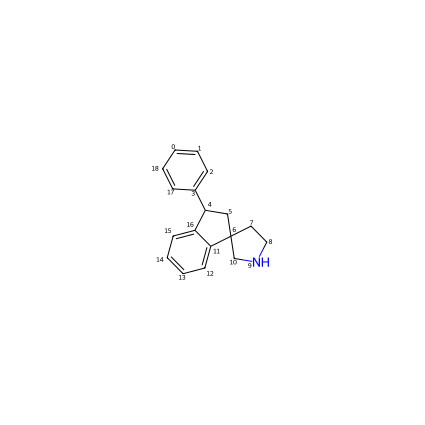 c1ccc(C2CC3(CCNC3)c3ccccc32)cc1